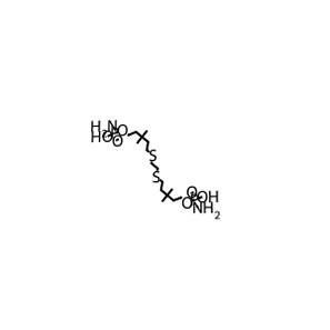 CC(C)(CCOP(N)(=O)O)CCSCCSCCC(C)(C)CCOP(N)(=O)O